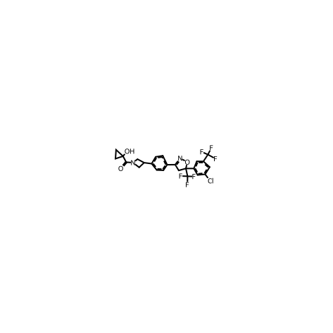 O=C(N1CC(c2ccc(C3=NOC(c4cc(Cl)cc(C(F)(F)F)c4)(C(F)(F)F)C3)cc2)C1)C1(O)CC1